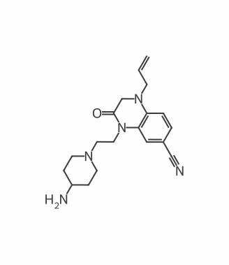 C=CCN1CC(=O)N(CCN2CCC(N)CC2)c2cc(C#N)ccc21